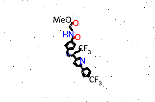 COC(=O)CCNC(=O)c1ccc(/C=C\C(CCC(F)(F)F)c2ccc(-c3ccc(C(F)(F)F)cc3)nc2)cc1